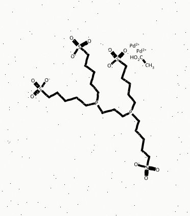 CC(=O)O.O=S(=O)([O-])CCCCCP(CCCCCS(=O)(=O)[O-])CCCP(CCCCCS(=O)(=O)[O-])CCCCCS(=O)(=O)[O-].[Pd+2].[Pd+2]